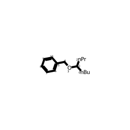 [CH2]CCCC(CCC)OCc1ccccc1